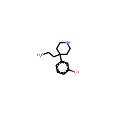 CCCC1(c2cccc(O)c2)CCNCC1